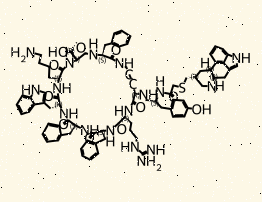 C[C@@H](O)[C@@H]1NC(=O)[C@H](CCCCN)NC(=O)[C@@H](Cc2c[nH]c3ccccc23)NC(=O)[C@H](Cc2ccccc2)NC(=O)[C@H](Cc2ccccc2)NC(=O)[C@H](CCCNC(=N)N)NC(=O)[C@H](NC[C@H](Cc2ccc(O)cc2)NC(=O)CSC[C@@H]2C[C@@H]3c4cccc5[nH]cc(c45)C[C@H]3N(C)C2)CCCNC(=O)[C@H](Cc2ccccc2)NC1=O